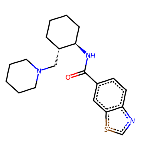 O=C(N[C@@H]1CCCC[C@H]1CN1CCCCC1)c1ccc2ncsc2c1